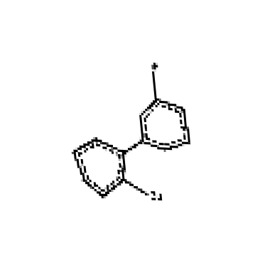 CCC(C)c1c[c]ccc1-c1cccc(C(C)C)c1